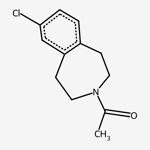 CC(=O)N1CCc2ccc(Cl)cc2CC1